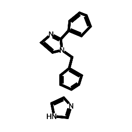 c1c[nH]cn1.c1ccc(Cn2ccnc2-c2ccccc2)cc1